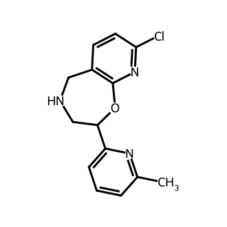 Cc1cccc(C2CNCc3ccc(Cl)nc3O2)n1